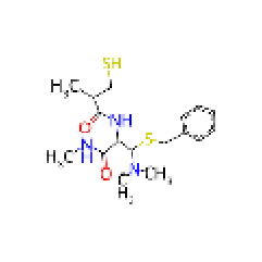 CNC(=O)C(NC(=O)C(C)CS)C(SCc1ccccc1)N(C)C